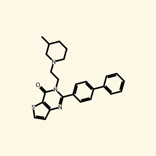 CC1CCCN(CCn2c(-c3ccc(-c4ccccc4)cc3)nc3ccsc3c2=O)C1